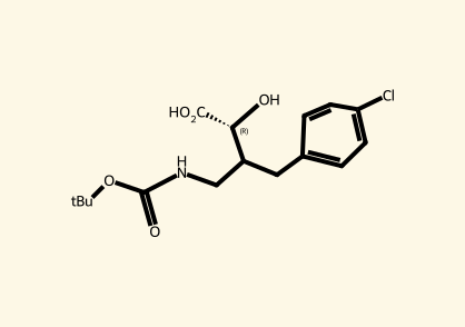 CC(C)(C)OC(=O)NCC(Cc1ccc(Cl)cc1)[C@@H](O)C(=O)O